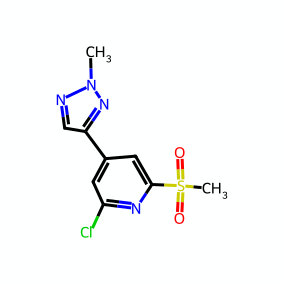 Cn1ncc(-c2cc(Cl)nc(S(C)(=O)=O)c2)n1